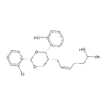 Oc1ccccc1[C@H]1O[C@@H](c2ccccc2Cl)OC[C@H]1C/C=C\CCC(O)O